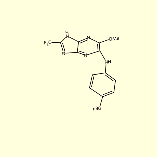 CCCCc1ccc(Nc2nc3nc(C(F)(F)F)[nH]c3nc2OC)cc1